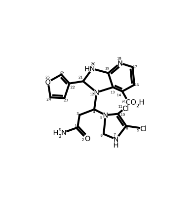 NC(=O)CC(N1CNC(Cl)=C1Cl)N1c2c(C(=O)O)ccnc2NC1c1ccoc1